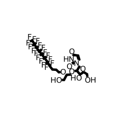 O=c1ccn(C2OC(CO)[C@H](O)C2OCC(CO)OCCCC(F)(F)C(F)(F)C(F)(F)C(F)(F)C(F)(F)C(F)(F)C(F)(F)C(F)(F)F)c(=O)[nH]1